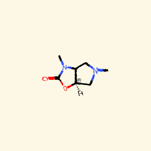 CN1CC2[C@@H](C1)OC(=O)N2C